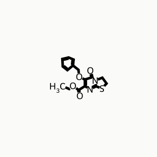 CCOC(=O)c1nc2n(c(=O)c1OCc1ccccc1)CCS2